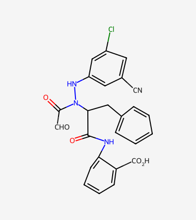 N#Cc1cc(Cl)cc(NN(C(=O)C=O)C(Cc2ccccc2)C(=O)Nc2ccccc2C(=O)O)c1